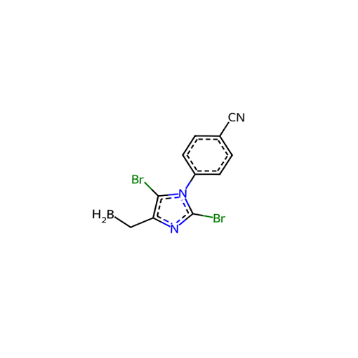 BCc1nc(Br)n(-c2ccc(C#N)cc2)c1Br